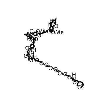 COc1cc2c(cc1OCCCCCOc1cc3c(cc1OC)C(=O)N1C=C(C)C[C@H]1[C@H](O)N3C(=O)OCc1ccc(NC(=O)[C@H](C)NC(=O)[C@@H](NC(=O)CCOCCOCCOCCOCCOCCOCCOCCOCCNC(=O)CC3CCCCCCCC3)C(C)C)cc1)N=C[C@@H]1CC(C)=CN1C2=O